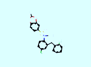 CC1Oc2ccc(S(=O)(=O)N(C)c3ccc(Cl)cc3Cc3ccccc3Cl)cc2O1